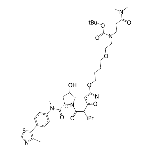 Cc1ncsc1-c1ccc(N(C)C(=O)[C@@H]2CC(O)CN2C(=O)C(c2cc(OCCCCOCCN(CCC(=O)N(C)C)C(=O)OC(C)(C)C)no2)C(C)C)cc1